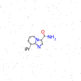 CC(C)c1cccn2c(C(N)=O)cnc12